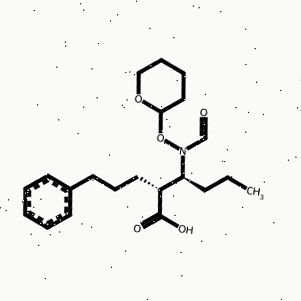 CCC[C@@H]([C@@H](CCCc1ccccc1)C(=O)O)N(C=O)OC1CCCCO1